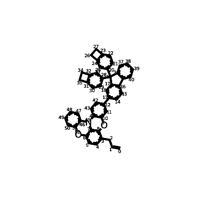 C=CCc1ccc2c3c1Oc1cc(-c4ccc5c(c4)C(c4ccc6c(c4)CC6)(c4ccc6c(c4)CC6)c4ccccc4-5)ccc1N3c1ccccc1O2